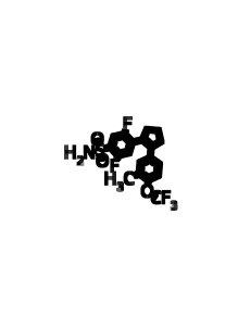 Cc1cc(C2=C(c3cc(F)c(S(N)(=O)=O)cc3F)CCC2)ccc1OC(F)(F)F